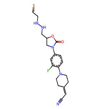 N#CC=C1CCN(c2ccc(N3CC(CNNCC=S)OC3=O)cc2F)CC1